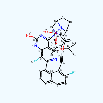 CC1Oc2nc(-c3cccc4ccc(F)c(C#C[Si](C(C)C)(C(C)C)C(C)C)c34)c(F)c3nc(O)nc(c23)N2CC3CCC(C12)N3C(=O)O